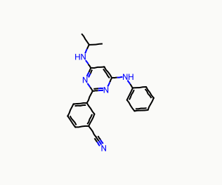 CC(C)Nc1cc(Nc2ccccc2)nc(-c2cccc(C#N)c2)n1